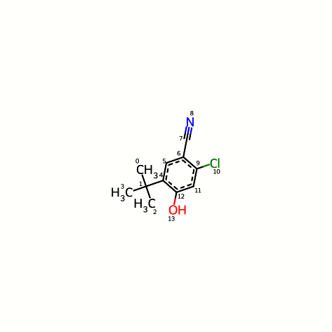 CC(C)(C)c1cc(C#N)c(Cl)cc1O